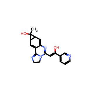 CC1(O)C2C=C3N=C(/C=C(\O)c4cccnc4)N4CCN=C4C3=CC21